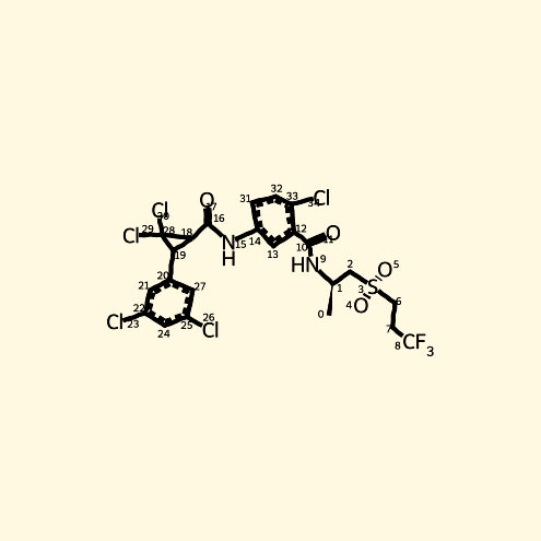 C[C@H](CS(=O)(=O)CCC(F)(F)F)NC(=O)c1cc(NC(=O)C2C(c3cc(Cl)cc(Cl)c3)C2(Cl)Cl)ccc1Cl